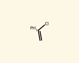 C=CCl.P